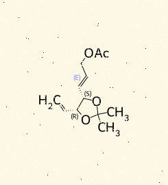 C=C[C@H]1OC(C)(C)O[C@H]1/C=C/COC(C)=O